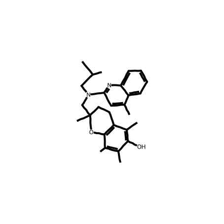 Cc1c(C)c2c(c(C)c1O)CCC(C)(CN(CC(C)C)c1cc(C)c3ccccc3n1)O2